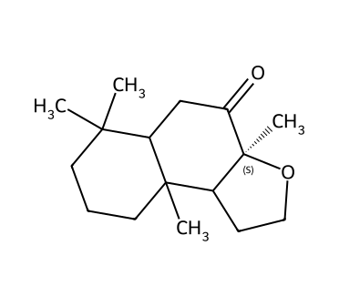 CC1(C)CCCC2(C)C1CC(=O)[C@@]1(C)OCCC21